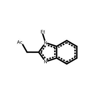 CCn1c(CC(C)=O)nc2ccccc21